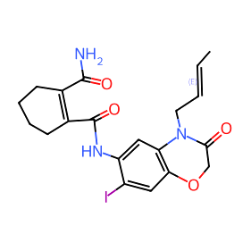 C/C=C/CN1C(=O)COc2cc(I)c(NC(=O)C3=C(C(N)=O)CCCC3)cc21